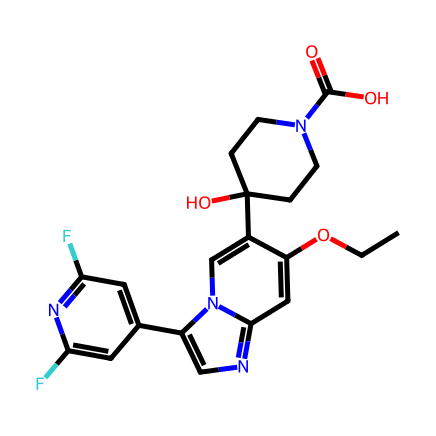 CCOc1cc2ncc(-c3cc(F)nc(F)c3)n2cc1C1(O)CCN(C(=O)O)CC1